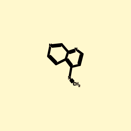 C=Nc1ccnc2cnccc12